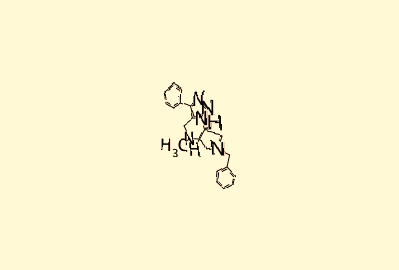 CN1Cc2c(-c3ccccc3)nnn2[C@@H]2CN(Cc3ccccc3)C[C@@H]21